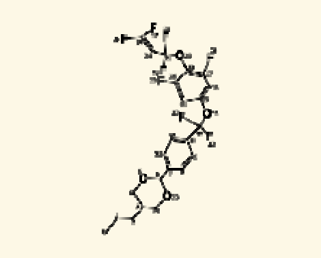 CCCC1COC(c2ccc(C(F)(F)Oc3cc(F)c(OC(F)(F)C=C(F)F)c(F)c3)cc2)OC1